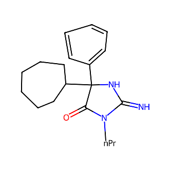 CCCN1C(=N)NC(c2ccccc2)(C2CCCCCC2)C1=O